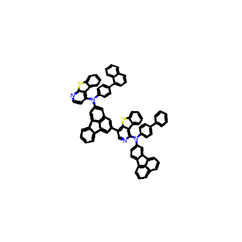 c1ccc(-c2ccc(N(c3ccc4c(c3)-c3cccc5cccc-4c35)c3ncc(-c4cc5c6c(cc(N(c7ccc(-c8cccc9ccccc89)cc7)c7ccnc8sc9ccccc9c78)cc6c4)-c4ccccc4-5)c4sc5ccccc5c34)cc2)cc1